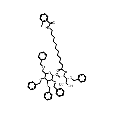 CC[C@@H](O)[C@@H](OCc1ccccc1)[C@H](CO[C@H]1OC(COCc2ccccc2)[C@H](OCc2ccccc2)C(OCc2ccccc2)C1OCc1ccccc1)NC(=O)CCCCCCCCCCCNC(=O)c1ccccc1F